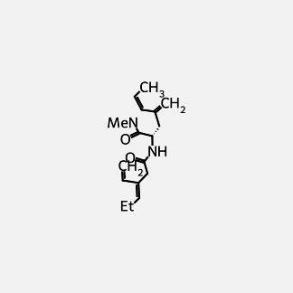 C=C/C(=C\CC)CC(=O)N[C@@H](CC(=C)/C=C\C)C(=O)NC